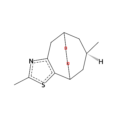 Cc1nc2c(s1)C1CCCCC(C2)C[C@@H](C)C1